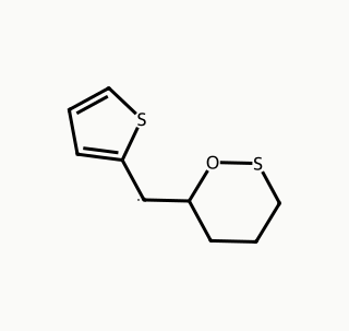 [CH](c1cccs1)C1CCCSO1